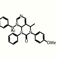 COc1ccc(N2C(=O)N(c3ccccc3)C3C(=CN=CN3N(C(C)=O)c3ccccc3)C2C)cc1